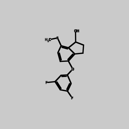 CSc1ccc(Oc2cc(F)cc(F)c2)c2c1C(O)CC2